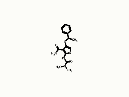 CC(Sc1csc(NC(=O)N(C)C)c1C(N)=O)c1ccccc1